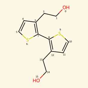 OCCc1ccsc1-c1sccc1CCO